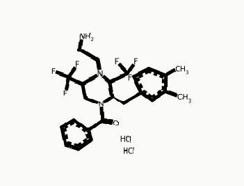 Cc1ccc(C[C@@H]2C(C(F)(F)F)N(CCN)C(C(F)(F)F)CN2C(=O)c2ccccc2)cc1C.Cl.Cl